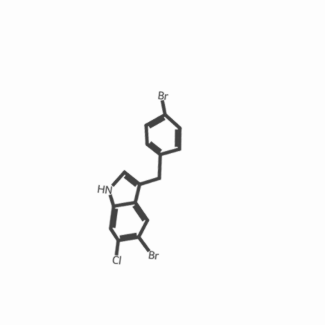 Clc1cc2[nH]cc(Cc3ccc(Br)cc3)c2cc1Br